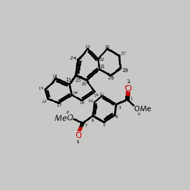 COC(=O)c1ccc(C(=O)OC)cc1.c1ccc2c(c1)ccc1c3c(ccc12)CCCC3